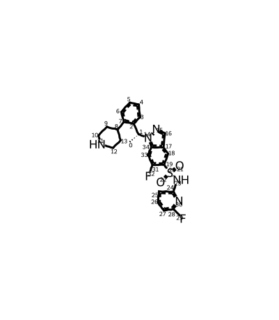 C[C@H](c1ccccc1C1CCNCC1)n1ncc2cc(S(=O)(=O)Nc3cccc(F)n3)c(F)cc21